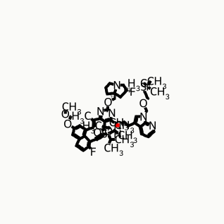 COCOc1cc(-c2oc(=O)c3c(NCCc4cn(COCC[Si](C)(C)C)c5ncccc45)nc(OC[C@@]45CCCN4C[C@H](F)C5)nc3c2C)c2c(C#C[Si](C(C)C)(C(C)C)C(C)C)c(F)ccc2c1